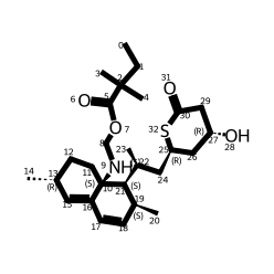 CCC(C)(C)C(=O)OCN[C@]12CC[C@@H](C)C=C1C=C[C@H](C)[C@@H]2[C@@H](C)C[C@@H]1C[C@@H](O)CC(=O)S1